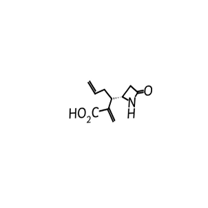 C=CCC(C(=C)C(=O)O)[C@@H]1CC(=O)N1